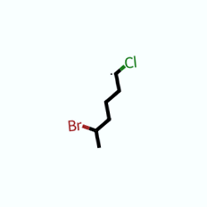 CC(Br)CCC[CH]Cl